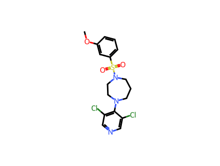 COc1cccc(S(=O)(=O)N2CCCN(c3c(Cl)cncc3Cl)CC2)c1